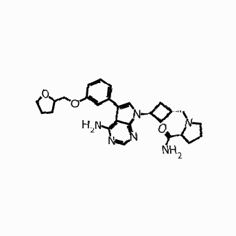 NC(=O)[C@@H]1CCCN1C[C@H]1C[C@H](n2cc(-c3cccc(OCC4CCCO4)c3)c3c(N)ncnc32)C1